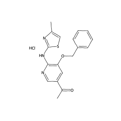 CC(=O)c1cnc(Nc2nc(C)cs2)c(OCc2ccccc2)c1.Cl